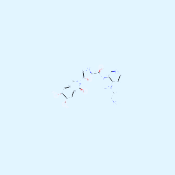 COc1cc2c(cc1OC)C(=O)N(c1cnc(C(=O)Nc3cnccc3N(C)CCN)o1)C2